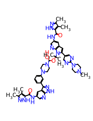 Cc1n[nH]c(C(=O)Nc2cnc3c(c2)cc(-c2cnc(N4CCN(C)CC4)nc2)n3C(C)(C)OC(O)N2CCN(c3cccc(-c4n[nH]c5ncc(NC(=O)c6[nH]nc(C)c6C)cc45)c3)CC2)c1C